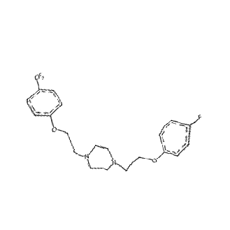 Fc1ccc(OCCN2CCN(CCOc3ccc(C(F)(F)F)cc3)CC2)cc1